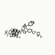 CC(C)(C)[Si](C)(C)OCCN1CCn2nc(-c3ccncc3)c(-c3ccc(OCc4ccc(C5CC5)nc4)cc3F)c2C1=O